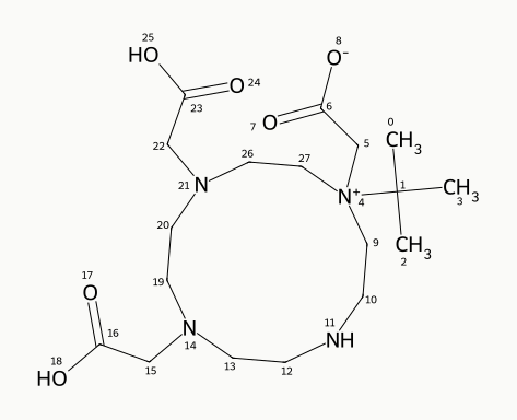 CC(C)(C)[N+]1(CC(=O)[O-])CCNCCN(CC(=O)O)CCN(CC(=O)O)CC1